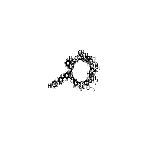 CCC(C)C1NC(=O)C2CCCN2C(=O)C(Cc2cccc(-c3ccc(N4CCNCC4)nc3)c2)N(C)C(=O)C(Cc2ccccc2)NC(=O)[C@H](C)N(C)C(=O)[C@@H](C(C)CC)OC(=O)C(C(C)(C)O)N(C)C(=O)C(CC(C)C)NC(=O)[C@H](C)N(C)C1=O